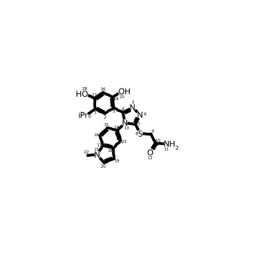 CC(C)c1cc(-c2nnc(SCC(N)=O)n2-c2ccc3c(ccn3C)c2)c(O)cc1O